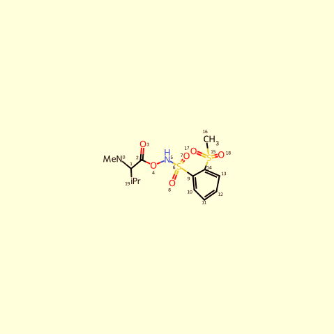 CNC(C(=O)ONS(=O)(=O)c1ccccc1S(C)(=O)=O)C(C)C